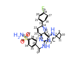 CC(Nc1nc(NC2(C(F)(F)F)CCC2)c2nc(-c3ccc(F)cc3)ccc2n1)c1ccc(S(N)(=O)=O)cc1